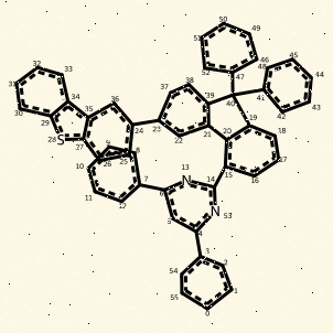 c1ccc(-c2cc(-c3ccccc3)nc(-c3cccc4c3-c3cc(-c5ccc6sc7ccccc7c6c5)ccc3C4(c3ccccc3)c3ccccc3)n2)cc1